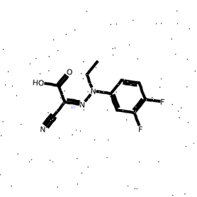 CCN(/N=C(/C#N)C(=O)O)c1ccc(F)c(F)c1